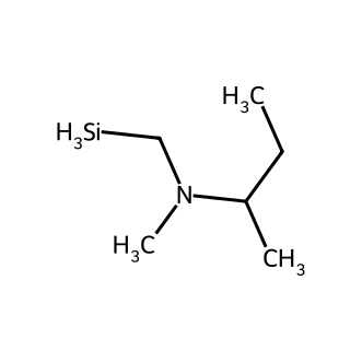 CCC(C)N(C)C[SiH3]